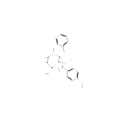 COc1ccc(C2S[C@@]3(CO)C4OC4N(C)[C@@](Cc4ccccc4)(S2)C(OC)N3C)cc1